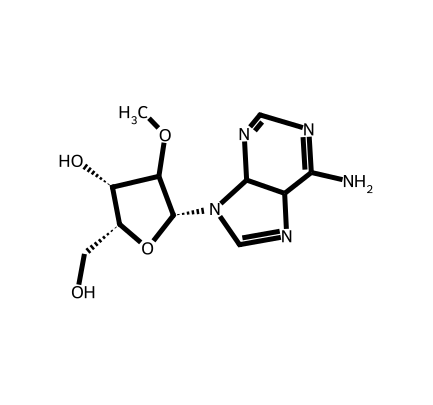 COC1[C@@H](O)[C@@H](CO)O[C@H]1N1C=NC2C(N)=NC=NC21